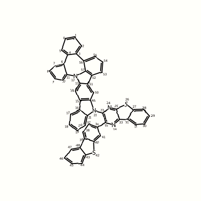 c1ccc2c(c1)-c1ccccc1-n1c3cc4c5ccccc5n(-c5nc6sc7ccccc7c6nc5-c5ccc6c(c5)sc5ccccc56)c4cc3c3cccc-2c31